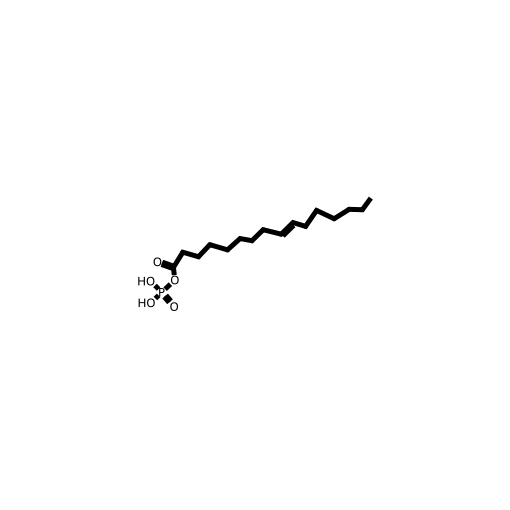 CCCCCCC=CCCCCCCCC(=O)OP(=O)(O)O